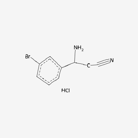 Cl.N#CCC(N)c1cccc(Br)c1